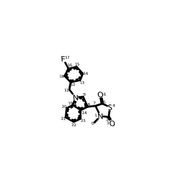 CN1C(=O)SC(=O)C1c1cn(Cc2cccc(F)c2)c2ccccc12